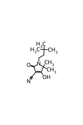 CC(C)(C)CCN1C(=O)C(C#N)=C(O)C1(C)C